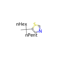 CCCCCCC(C)(CCCCC)c1cncs1